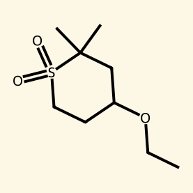 CCOC1CCS(=O)(=O)C(C)(C)C1